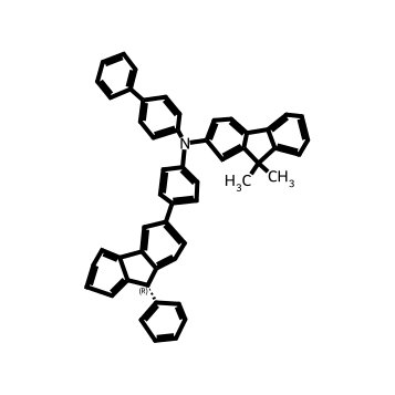 CC1(C)c2ccccc2-c2ccc(N(c3ccc(-c4ccccc4)cc3)c3ccc(-c4ccc5c(c4)-c4ccccc4[C@H]5c4ccccc4)cc3)cc21